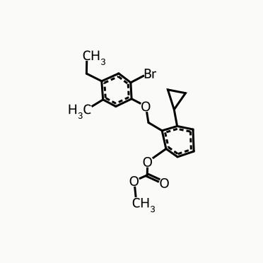 CCc1cc(Br)c(OCc2c(OC(=O)OC)cccc2C2CC2)cc1C